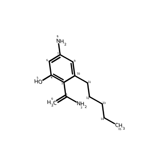 C=C(N)c1c(O)cc(N)cc1CCCCC